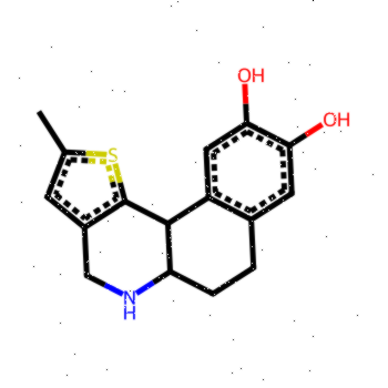 Cc1cc2c(s1)C1c3cc(O)c(O)cc3CCC1NC2